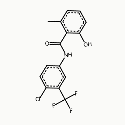 Cc1cccc(O)c1C(=O)Nc1ccc(Cl)c(C(F)(F)F)c1